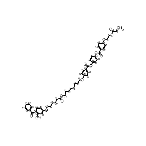 C=CC(=O)OCCOc1ccc(C(=O)Oc2ccc(OC(=O)c3ccc(OCCCCCCCCOC(=O)CCCCCOc4ccc(C(=O)c5ccccc5)c(O)c4)cc3)cc2)cc1